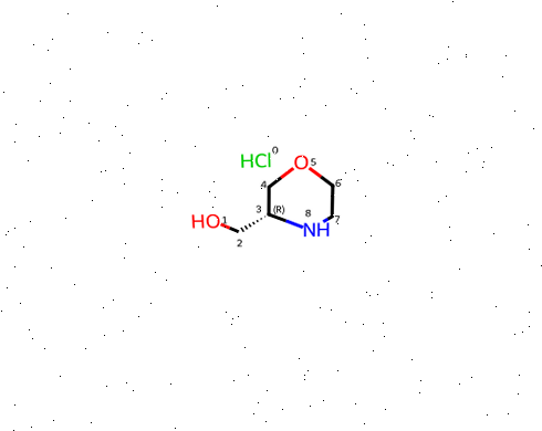 Cl.OC[C@@H]1COCCN1